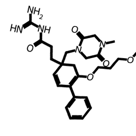 COCCCOC1=C(c2ccccc2)C=CC(CCC(=O)NC(=N)N)(CN2CC(=O)N(C)CC2=O)C1